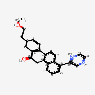 COCCC1C=CC2=C(C1)C(=O)Cc1c2ccc2c(-c3cnccn3)cccc12